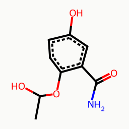 CC(O)Oc1ccc(O)cc1C(N)=O